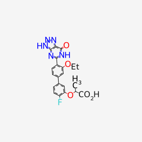 CCOc1cc(-c2ccc(F)c(OC(C)C(=O)O)c2)ccc1-c1nc2[nH]nnc2c(=O)[nH]1